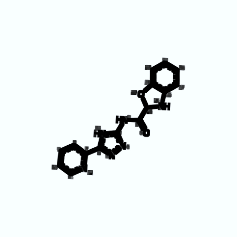 O=C(Nc1nnc(-c2ccccn2)[nH]1)C1Nc2ccccc2O1